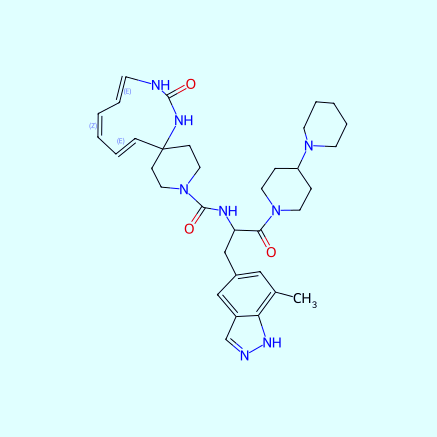 Cc1cc(CC(NC(=O)N2CCC3(/C=C/C=C\C=C\NC(=O)N3)CC2)C(=O)N2CCC(N3CCCCC3)CC2)cc2cn[nH]c12